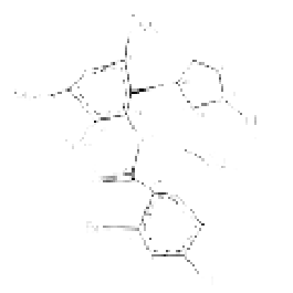 COc1cc(OC)c([C@H]2CCN(C)[C@@H]2COC(C)=O)c(OC(=O)c2ccc(Cl)cc2Br)c1C(C)=O